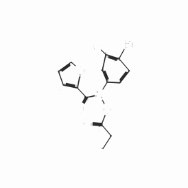 CCC(=O)ON(C(=O)c1ccco1)c1ccc(Br)c(Br)c1